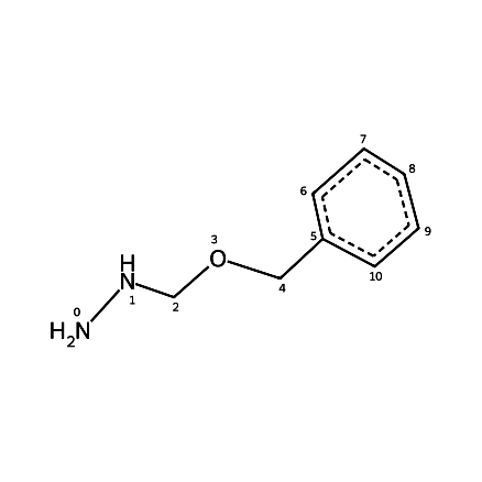 NNCOCc1ccccc1